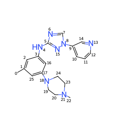 Cc1cc(Nc2ncn(-c3cccnc3)n2)cc(N2CCN(C)CC2)c1